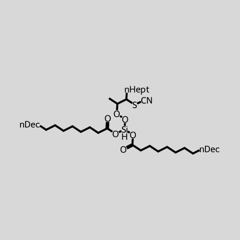 CCCCCCCCCCCCCCCCCC(=O)O[SiH](OOC(C)C(CCCCCCC)SC#N)OC(=O)CCCCCCCCCCCCCCCCC